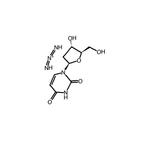 N=[N+]=N.O=c1ccn([C@H]2C[C@H](O)[C@@H](CO)O2)c(=O)[nH]1